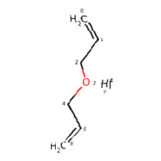 C=CCOCC=C.[Hf]